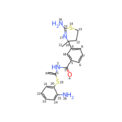 C=C(NC(=O)c1cccc(C2(C)CCSC(N)=N2)c1)Sc1ccccc1N